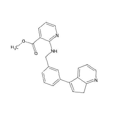 COC(=O)c1cccnc1NCc1cccc(C2=CCc3ncccc32)c1